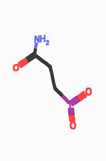 NC(=O)CCI(=O)=O